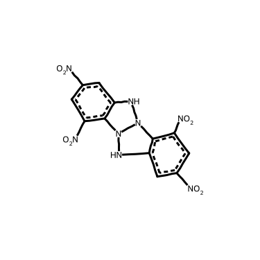 O=[N+]([O-])c1cc2c(c([N+](=O)[O-])c1)N1Nc3cc([N+](=O)[O-])cc([N+](=O)[O-])c3N1N2